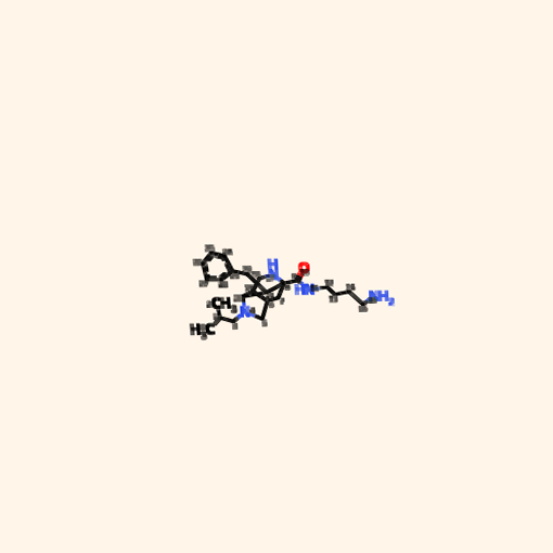 CC(C)CN1CC2CC3(C(=O)NCCCCN)NCC2C1C3Cc1ccccc1